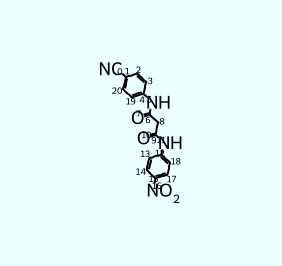 N#Cc1ccc(NC(=O)CC(=O)Nc2ccc([N+](=O)[O-])cc2)cc1